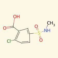 CNS(=O)(=O)c1ccc(Cl)c(C(=O)O)c1